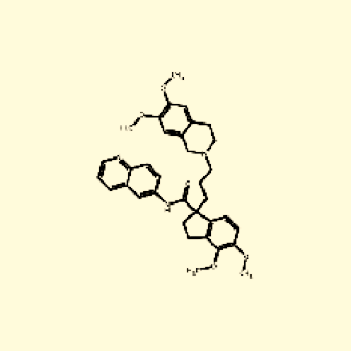 COc1cc2c(cc1OC)CN(CCCC1(C(=O)Nc3ccc4ncccc4c3)CCc3c1ccc(OC)c3OC)CC2